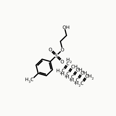 C=C.C=C.C=C.C=C.C=C.Cc1ccc(S(=O)(=O)OCCO)cc1